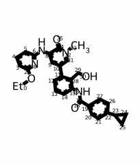 CCOc1cccc(Nc2cc(-c3cccc(NC(=O)c4ccc(C5CC5)cc4)c3CO)cn(C)c2=O)n1